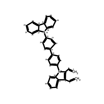 C=Cc1c(C=C)n(-c2ccc(-c3ccc(-n4c5ccccc5c5ccccc54)cc3)cc2)c2ccccc12